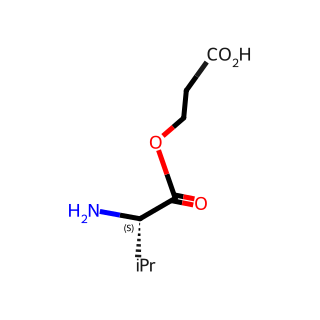 CC(C)[C@H](N)C(=O)OCCC(=O)O